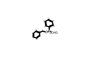 O=CN(OCc1ccccc1)c1cc[c]cc1